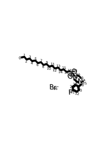 CCCCCCCCCCCCCCCCCCS(=O)(=O)N1CC[N+](C)(Cc2ccc(F)cc2)CC1.[Br-]